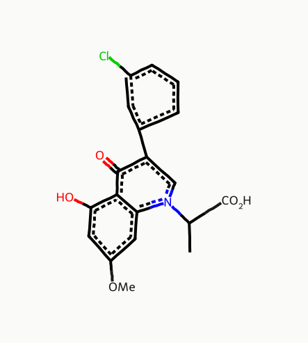 COc1cc(O)c2c(=O)c(-c3cccc(Cl)c3)cn(C(C)C(=O)O)c2c1